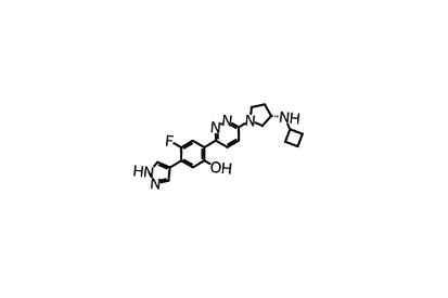 Oc1cc(-c2cn[nH]c2)c(F)cc1-c1ccc(N2CC[C@H](NC3CCC3)C2)nn1